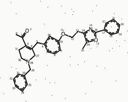 CC(=O)C1=C(Cc2cccc(OCCc3nc(-c4ccccc4)oc3C)c2)CN(Cc2ccccc2)CC1